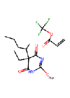 C=CC(=O)OC(F)(F)F.CCCC(C)C1(CC)C(=O)N=C([O-])NC1=O.[Na+]